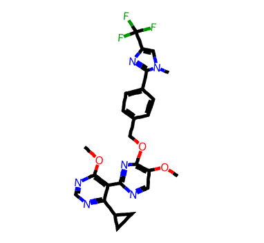 COc1cnc(-c2c(OC)ncnc2C2CC2)nc1OCc1ccc(-c2nc(C(F)(F)F)cn2C)cc1